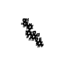 Cc1cnc(-c2ccnc(N3CC[C@H](O)C3)n2)cc1-n1c(C)cc(OCc2ncc(F)cc2F)c(Cl)c1=O